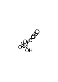 O=c1cc(CO)n2c(n1)O[C@H](COc1ccc(C3C4CCCC3CCC4)cc1)C2